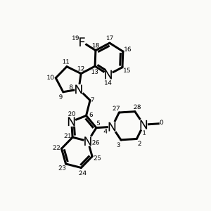 CN1CCN(c2c(CN3CCCC3c3ncccc3F)nc3ccccn23)CC1